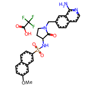 COc1ccc2ccc(S(=O)(=O)NC3CCN(Cc4ccc5ccnc(N)c5c4)C3=O)cc2c1.O=C(O)C(F)(F)F